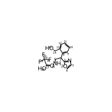 NCC(c1ncco1)c1ccccc1CO.O=C(O)C(F)(F)F